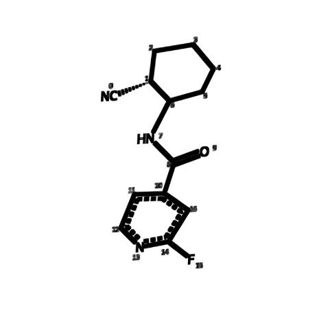 N#C[C@@H]1CCCCC1NC(=O)c1ccnc(F)c1